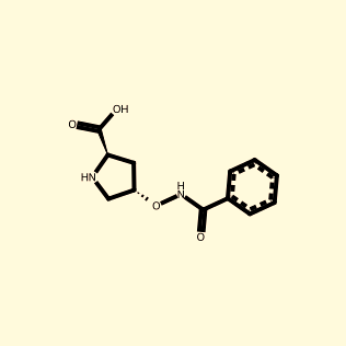 O=C(NO[C@@H]1CN[C@@H](C(=O)O)C1)c1ccccc1